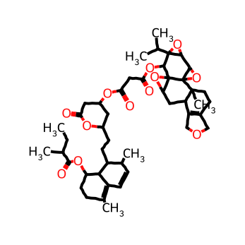 CCC(C)C(=O)OC1CCC(C)=C2C=CC(C)C(CCC3CC(OC(=O)CC(=O)OC4C5(C(C)C)OC5C5OC56C5(C)CCC7=C(COC7)C5CC5OC546)CC(=O)O3)C21